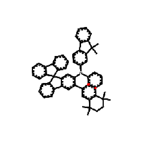 CC1(C)CCC(C)(C)c2cc(-c3cc4c(cc3N(c3ccccc3)c3ccc5c(c3)C(C)(C)c3ccccc3-5)C3(c5ccccc5-c5ccccc53)c3ccccc3-4)ccc21